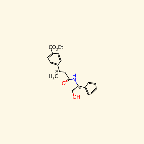 CCOC(=O)c1ccc([C@@H](C)CC(=O)N[C@H](CO)c2ccccc2)cc1